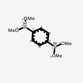 CO[SiH](OC)c1ccc([SiH](OC)OC)cc1